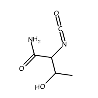 CC(O)C(N=C=O)C(N)=O